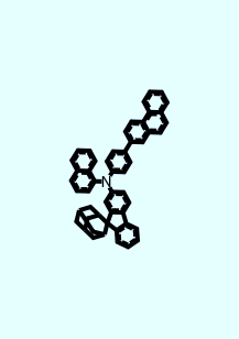 c1ccc2c(c1)-c1ccc(N(c3ccc(-c4ccc5c(ccc6ccccc65)c4)cc3)c3cccc4ccccc34)cc1C21C2CC3CC(C2)CC1C3